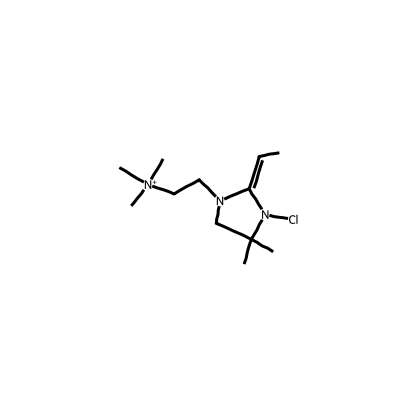 CC=C1N(CC[N+](C)(C)C)CC(C)(C)N1Cl